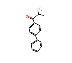 CC(C(=O)c1ccc(-c2ccccc2)cc1)C(F)(F)F